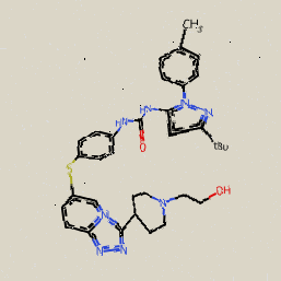 Cc1ccc(-n2nc(C(C)(C)C)cc2NC(=O)Nc2ccc(Sc3ccc4nnc(C5CCN(CCO)CC5)n4c3)cc2)cc1